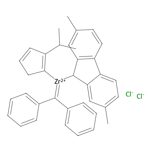 Cc1ccc2c(c1)[CH]([Zr+2]([C]1=C(C(C)C)C=CC1)=[C](c1ccccc1)c1ccccc1)c1cc(C)ccc1-2.[Cl-].[Cl-]